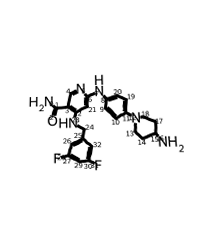 NC(=O)c1cnc(Nc2ccc(N3CCC(N)CC3)cc2)cc1NCc1cc(F)cc(F)c1